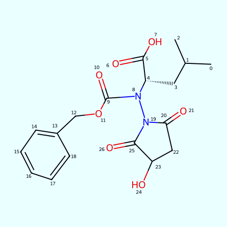 CC(C)C[C@@H](C(=O)O)N(C(=O)OCc1ccccc1)N1C(=O)CC(O)C1=O